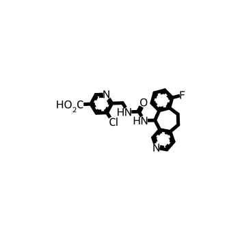 O=C(NCc1ncc(C(=O)O)cc1Cl)NC1c2cnccc2CCc2c(F)cccc21